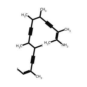 C/C(C#CC(I)C(C)C#CC(C)C(C)C#C/C(C)=C(\C)N)=C/I